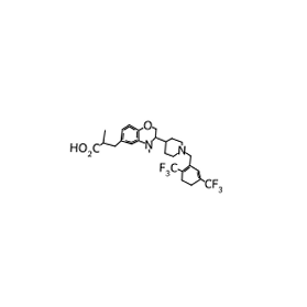 CC(Cc1ccc2c(c1)N(C)C(C1CCN(CC3=C(C(F)(F)F)CCC(C(F)(F)F)=C3)CC1)CO2)C(=O)O